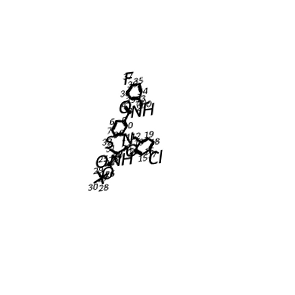 C[C@@H](NC(=O)c1ccc2c(c1)N(Cc1ccc(Cl)cc1)C(=O)[C@@H](NC(=O)OC(C)(C)C)CS2)c1ccc(F)cc1